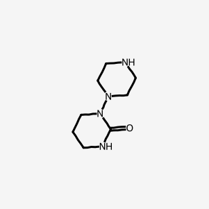 O=C1NCCCN1N1CCNCC1